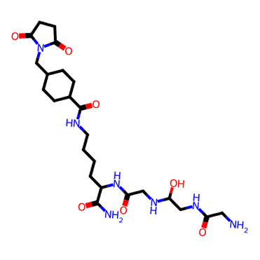 NCC(=O)NCC(O)NCC(=O)NC(CCCCNC(=O)C1CCC(CN2C(=O)CCC2=O)CC1)C(N)=O